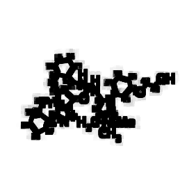 CSC(C)(C)c1cc(NC(=O)NCc2ccccc2Sc2ccc3nnc(-c4ccccc4C(C)C)n3c2)n(-c2cccc(OCCO)c2)n1